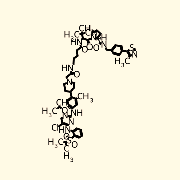 Cc1cc(Nc2ncc(Cl)c(Nc3ccccc3S(=O)(=O)C(C)C)n2)c(OC(C)C)cc1C1CCN(CC(=O)NCCCCC(=O)NC(C(=O)N2CCC[C@H]2C(=O)NCc2ccc(-c3scnc3C)cc2)C(C)(C)C)CC1